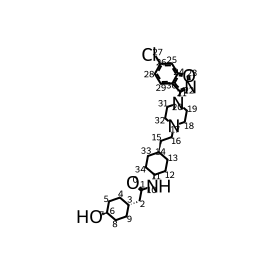 O=C(C[C@H]1CC[C@H](O)CC1)N[C@H]1CC[C@H](CCN2CCN(c3noc4cc(Cl)ccc34)CC2)CC1